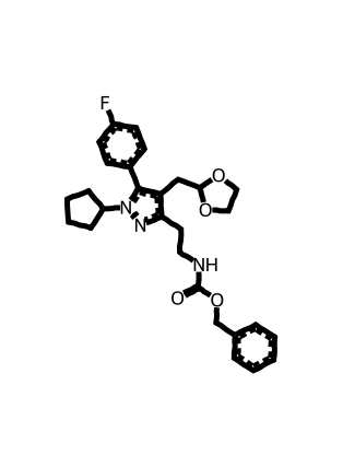 O=C(NCCc1nn(C2CCCC2)c(-c2ccc(F)cc2)c1CC1OCCO1)OCc1ccccc1